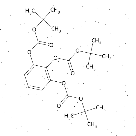 CC(C)(C)OC(=O)Oc1cccc(OC(=O)OC(C)(C)C)c1OC(=O)OC(C)(C)C